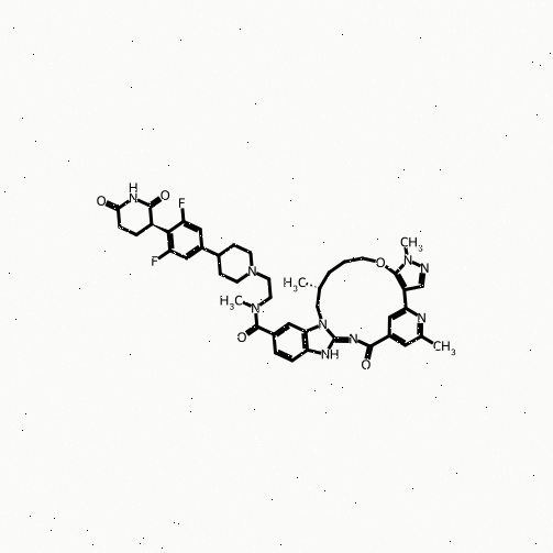 Cc1cc2cc(n1)-c1cnn(C)c1OCCC[C@@H](C)CN1/C(=N/C2=O)Nc2ccc(C(=O)N(C)CCN3CCC(c4cc(F)c([C@H]5CCC(=O)NC5=O)c(F)c4)CC3)cc21